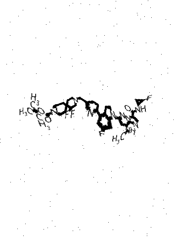 CNc1cc(N2CCc3c(-c4ccc(CN5CCC6(CCN(C(=O)OC(C)(C)C)CC6)C(F)(F)C5)cn4)cc(F)cc32)nn2c(C(=O)N[C@@H]3C[C@@H]3F)cnc12